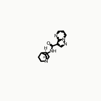 O=C(N[C@H]1CN2CCC1CC2)c1cnn2cccnc12